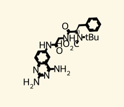 CC(C)(C)N(C(=O)O)[C@H](Cc1ccccc1)C(=O)NCC(=O)Nc1ccc2nc(N)nc(N)c2c1